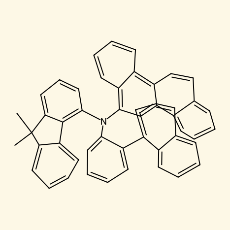 CC1(C)c2ccccc2-c2c(N(c3ccccc3-c3cccc4ccccc34)c3cc4c5ccccc5ccc4c4ccccc34)cccc21